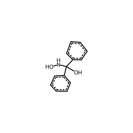 ONC(O)(c1ccccc1)c1ccccc1